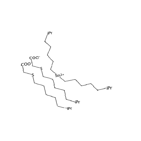 CC(C)CCCCCSCC(=O)[O-].CC(C)CCCCCSCC(=O)[O-].CC(C)CCCC[CH2][Sn+2][CH2]CCCCC(C)C